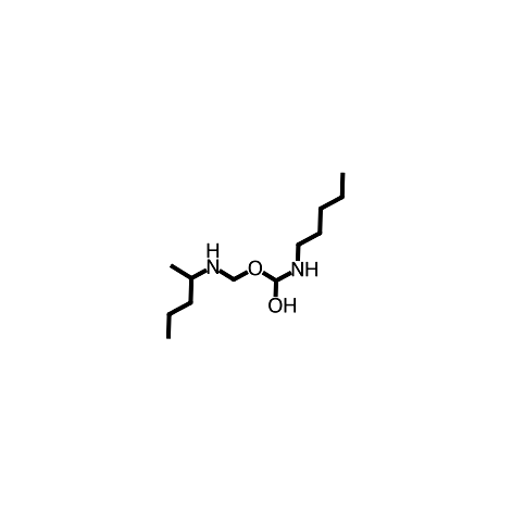 CCCCCNC(O)OCNC(C)CCC